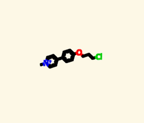 C[n+]1ccc(-c2ccc(OCCCCl)cc2)cc1